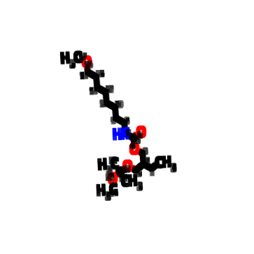 CCC(COC(=O)NCCCCCCCCOC)COC(C)(C)OC